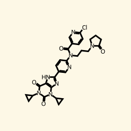 O=C1CCCN1CCCN(C(=O)c1ccc(Cl)nc1)c1ccc(-c2nc3c([nH]2)c(=O)n(C2CC2)c(=O)n3C2CC2)cn1